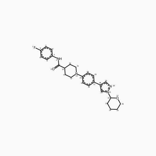 O=C(Nc1ccc(F)cc1)C1CCN(c2ccc(-c3cnn(C4CCCCO4)c3)cc2)CC1